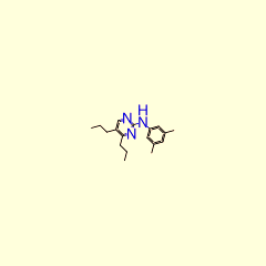 CCCc1cnc(Nc2cc(C)cc(C)c2)nc1CCC